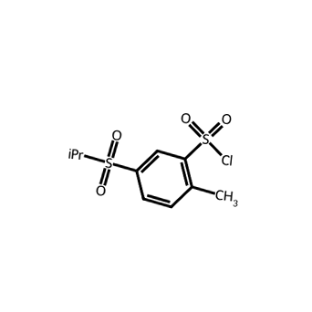 Cc1ccc(S(=O)(=O)C(C)C)cc1S(=O)(=O)Cl